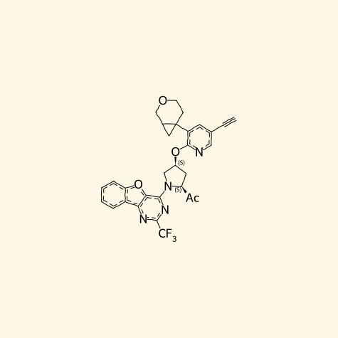 C#Cc1cnc(O[C@H]2C[C@@H](C(C)=O)N(c3nc(C(F)(F)F)nc4c3oc3ccccc34)C2)c(C23CCOCC2C3)c1